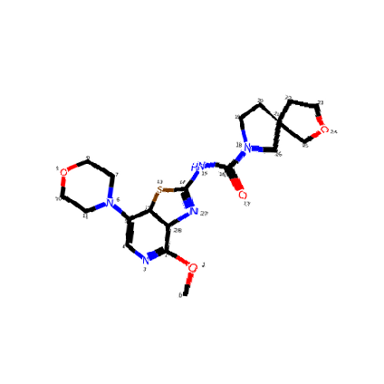 COC1=NC=C(N2CCOCC2)C2SC(NC(=O)N3CC[C@]4(CCOC4)C3)=NC12